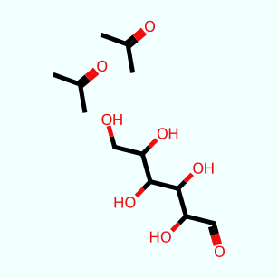 CC(C)=O.CC(C)=O.O=CC(O)C(O)C(O)C(O)CO